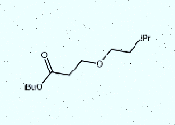 CC(C)CCOCCC(=O)OCC(C)C